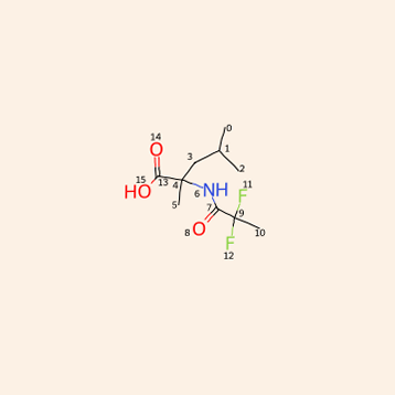 CC(C)CC(C)(NC(=O)C(C)(F)F)C(=O)O